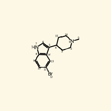 CN1CCC(c2c[nH]c3ccc(Br)cc23)CC1